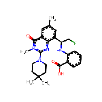 Cc1cc(C(CF)Nc2ccccc2C(=O)O)c2nc(N3CCC(C)(C)CC3)n(C)c(=O)c2c1